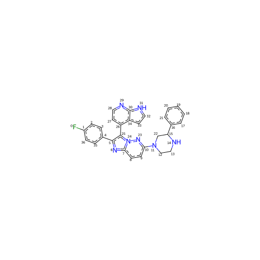 Fc1ccc(-c2nc3ccc(N4CCNC(c5ccccc5)C4)nn3c2-c2ccnc3[nH]ccc23)cc1